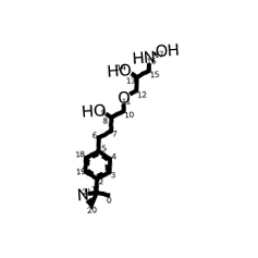 CC1(c2ccc(CCC(O)COCC(O)CNO)cc2)C=N1